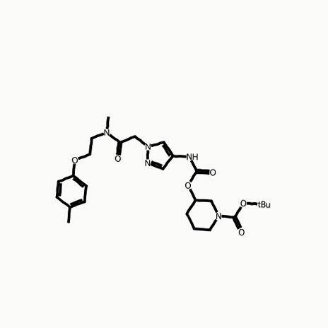 Cc1ccc(OCCN(C)C(=O)Cn2cc(NC(=O)OC3CCCN(C(=O)OC(C)(C)C)C3)cn2)cc1